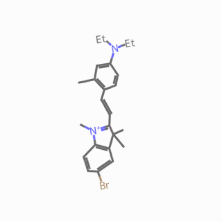 CCN(CC)c1ccc(/C=C/C2=[N+](C)c3ccc(Br)cc3C2(C)C)c(C)c1